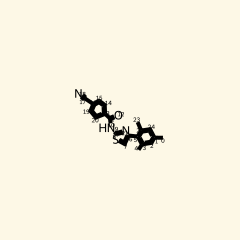 Cc1cc(C)c(-c2csc(NC(=O)c3ccc(C#N)cc3)n2)c(C)c1